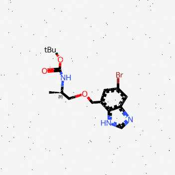 C[C@H](COCc1cc(Br)cc2nc[nH]c12)NC(=O)OC(C)(C)C